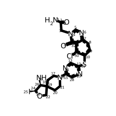 NC(=O)Cn1cnc2ccc(Sc3cnc(N4CCC5(CC4)CO[C@@H](I)[C@H]5N)cn3)c(Cl)c2c1=O